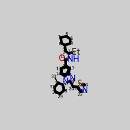 CCC(CC1CCCCC1)NC(=O)c1ccc2c(c1)nc(Cc1cncs1)n2C1CCCC[C@H]1C